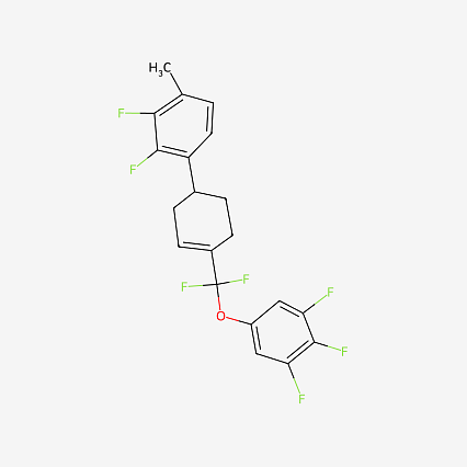 Cc1ccc(C2CC=C(C(F)(F)Oc3cc(F)c(F)c(F)c3)CC2)c(F)c1F